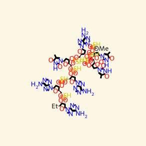 CC[C@H]1O[C@@H](n2cnc3c(N)ncnc32)CC1OP(=O)(S)OC[C@H]1O[C@@H](n2cnc3c(N)ncnc32)CC1OP(=O)(S)OC[C@H]1O[C@@H](n2cnc3c(N)ncnc32)CC1OP(=O)(S)OC[C@H]1O[C@@H](n2cc(C)c(=O)[nH]c2=O)CC1OP(=O)(S)OC[C@H]1O[C@@H](n2cnc3c(N)ncnc32)CC1OP(=O)(S)OC[C@H]1O[C@@H](n2cc(C)c(=O)[nH]c2=O)CC1OP(=O)(S)OC[C@H]1O[C@@H](n2cc(C)c(=O)[nH]c2=O)CC1OP(=O)(S)OC